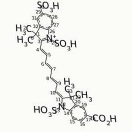 CC1(C)C(/C=C/C=C/C=C/C=C2/N(S(=O)(=O)O)c3ccc(C(=O)O)cc3C2(C)C)=[N+](S(=O)(=O)O)c2ccc(S(=O)(=O)O)cc21